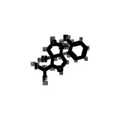 Fc1ccccc1[C@]12COC(C(F)F)[C@H]1CON2